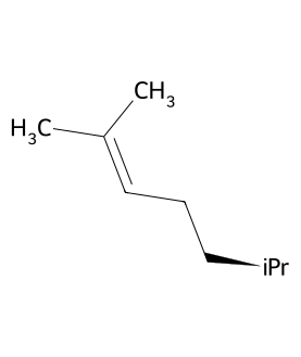 [CH2][C@H](C)CCC=C(C)C